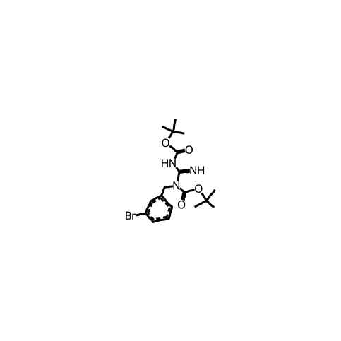 CC(C)(C)OC(=O)NC(=N)N(Cc1cccc(Br)c1)C(=O)OC(C)(C)C